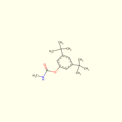 CNC(=O)Oc1cc(C(C)(C)C)cc(C(C)(C)C)c1